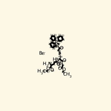 CCOC(=O)CNC(=O)[C@H](CSSCC(=O)NC[P+](c1ccccc1)(c1ccccc1)c1ccccc1)NC(=O)CC[C@H](N)C(=O)OCC.[Br-]